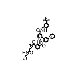 COCCNC(=O)CCN(C)C(=O)c1cccc(C(=O)Nc2ccc(N3CCCCC3)cc2-c2cc(C(=O)NCc3cccc(C(F)(F)F)c3)ccn2)c1